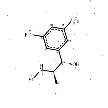 CCN[C@H](C)[C@@H](O)c1cc(C(F)(F)F)cc(C(F)(F)F)c1